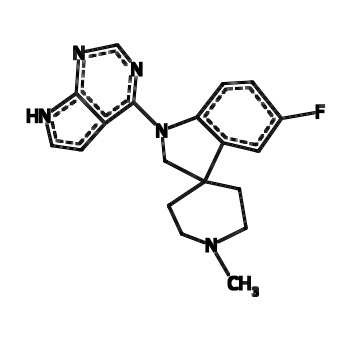 CN1CCC2(CC1)CN(c1ncnc3[nH]ccc13)c1ccc(F)cc12